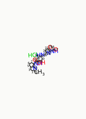 Cc1ccc2cccc(NC(=O)C3(O)CCC(NCc4ccc5c(n4)NC(=O)CO5)CC3)c2n1.Cl